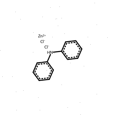 [Cl-].[Cl-].[Zn+2].c1ccc(Nc2ccccc2)cc1